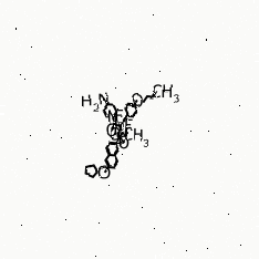 CCCCOc1ccc(C(F)(F)[C@@H](C(=O)N2CCC(N)CC2)N(C)S(=O)(=O)c2ccc3cc(OC4CCCC4)ccc3c2)cc1